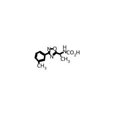 Cc1cccc(-c2noc([C@H](C)NC(=O)O)n2)c1